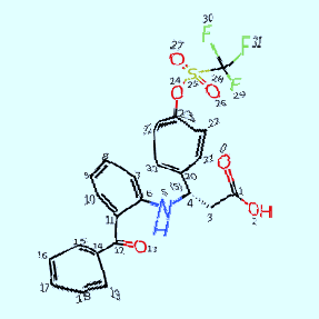 O=C(O)C[C@H](Nc1ccccc1C(=O)c1ccccc1)c1ccc(OS(=O)(=O)C(F)(F)F)cc1